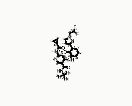 [2H]C([2H])([2H])NC(=O)c1cnc(NC(=O)C2CC2)cc1Nc1cccc(-c2ccn(CC(F)F)n2)c1OC